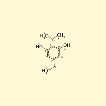 CCc1cc(O)c(C(C)C)c(O)c1